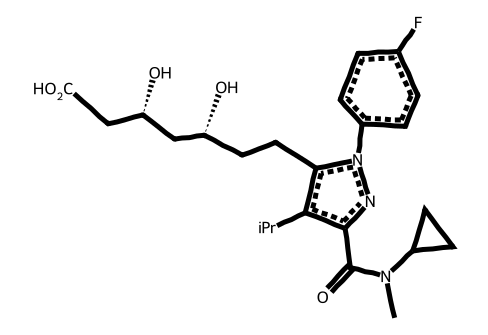 CC(C)c1c(C(=O)N(C)C2CC2)nn(-c2ccc(F)cc2)c1CC[C@@H](O)C[C@@H](O)CC(=O)O